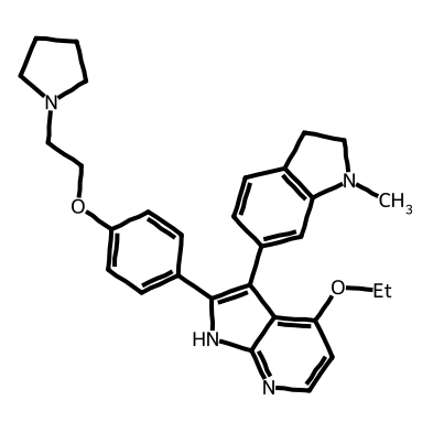 CCOc1ccnc2[nH]c(-c3ccc(OCCN4CCCC4)cc3)c(-c3ccc4c(c3)N(C)CC4)c12